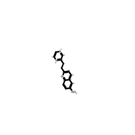 O=[N+]([O-])c1ccc2nc(CCc3cnccn3)ccc2c1